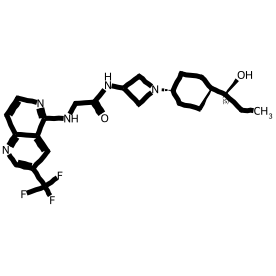 CC[C@H](O)[C@H]1CC[C@H](N2CC(NC(=O)CNc3nccc4ncc(C(F)(F)F)cc34)C2)CC1